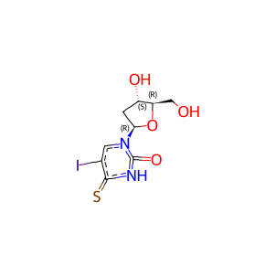 O=c1[nH]c(=S)c(I)cn1[C@H]1C[C@H](O)[C@@H](CO)O1